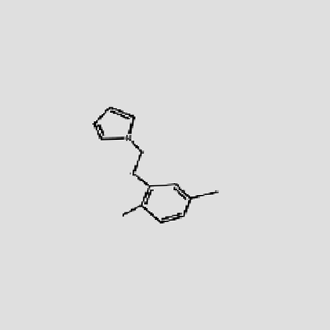 Cc1ccc(C)c([CH]Cn2cccc2)c1